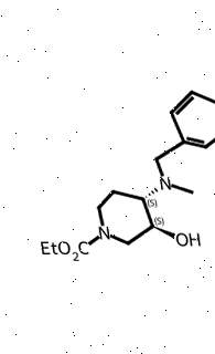 CCOC(=O)N1CC[C@H](N(C)Cc2ccccc2)[C@@H](O)C1